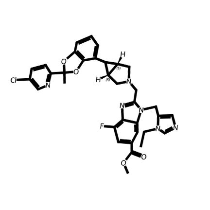 CCn1cncc1Cn1c(CN2C[C@@H]3C(c4cccc5c4OC(C)(c4ccc(Cl)cn4)O5)[C@@H]3C2)nc2c(F)cc(C(=O)OC)cc21